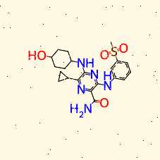 CS(=O)(=O)c1cccc(Nc2nc(NC3CCC(O)CC3)c(C3CC3)nc2C(N)=O)c1